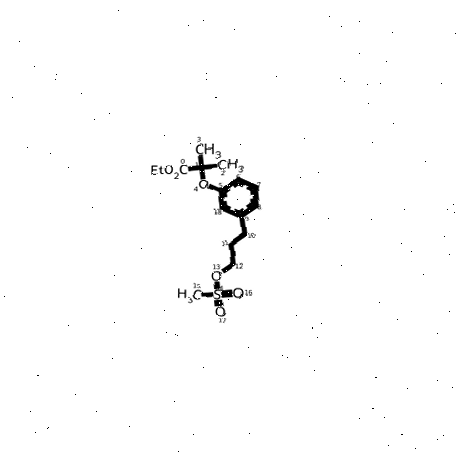 CCOC(=O)C(C)(C)Oc1cccc(CCCOS(C)(=O)=O)c1